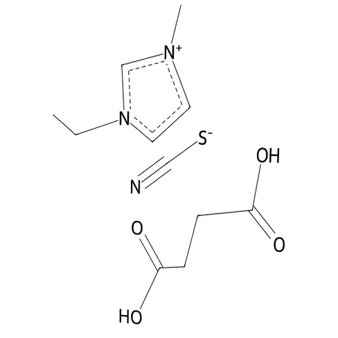 CCn1cc[n+](C)c1.N#C[S-].O=C(O)CCC(=O)O